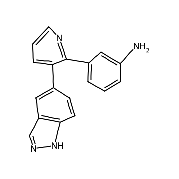 Nc1cccc(-c2ncccc2-c2ccc3[nH]ncc3c2)c1